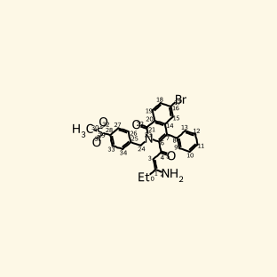 CC/C(N)=C/C(=O)c1c(-c2ccccc2)c2cc(Br)ccc2c(=O)n1Cc1ccc(S(C)(=O)=O)cc1